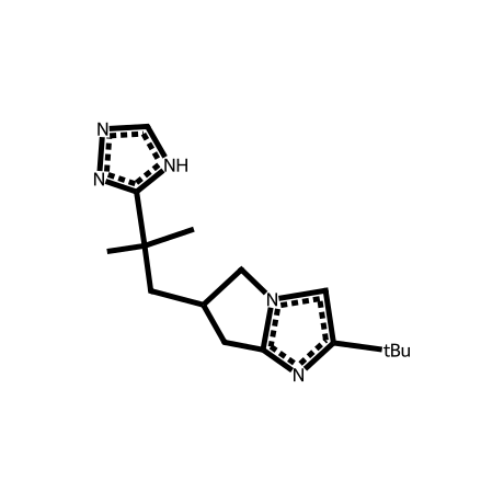 CC(C)(C)c1cn2c(n1)CC(CC(C)(C)c1nnc[nH]1)C2